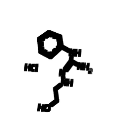 Cl.NC(=NNCCO)Nc1ccccc1